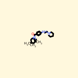 CC1(C)CC2CC(C)(CN2C(=O)c2ccc(NCCN3CCCCC3)cc2)C1